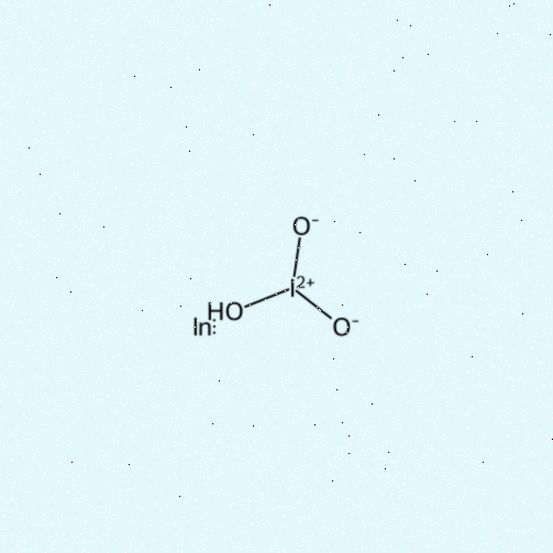 [In].[O-][I+2]([O-])O